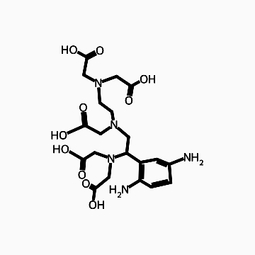 Nc1ccc(N)c(C(CN(CCN(CC(=O)O)CC(=O)O)CC(=O)O)N(CC(=O)O)CC(=O)O)c1